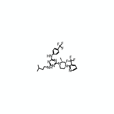 CC(C)CCNc1nc(Nc2ccc(C(F)(F)F)cc2)nc(N2CCN(c3ncccc3C(F)(F)F)C[C@@H]2C)n1